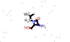 CC([SiH2]N1C(=O)C(N)C1CO)C(C)(C)C